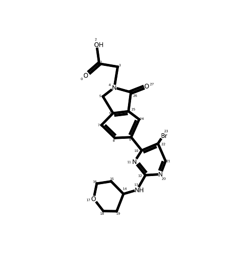 O=C(O)CN1Cc2ccc(-c3nc(NC4CCOCC4)ncc3Br)cc2C1=O